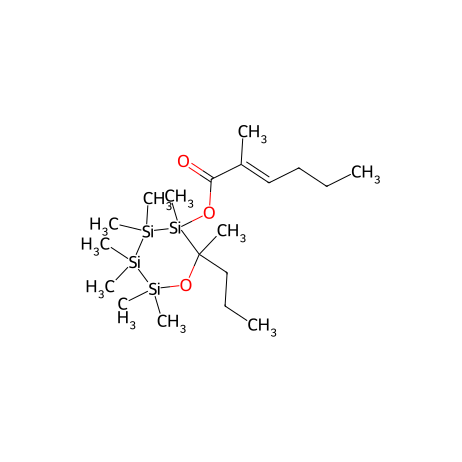 CCCC=C(C)C(=O)O[Si]1(C)C(C)(CCC)O[Si](C)(C)[Si](C)(C)[Si]1(C)C